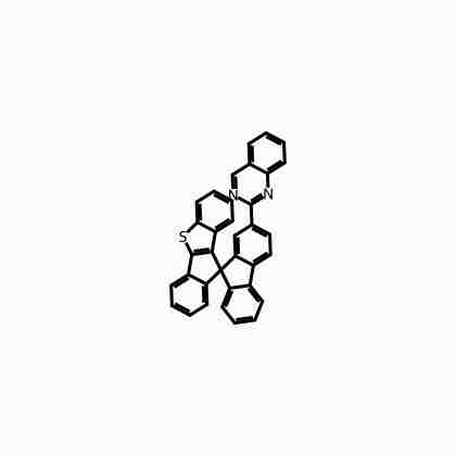 c1ccc2c(c1)-c1ccc(-c3ncc4ccccc4n3)cc1C21c2ccccc2-c2sc3ccccc3c21